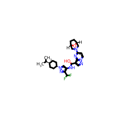 CC(C)[C@H]1CC[C@H](n2cc(NC(O)c3cnn4ccc(N5C[C@H]6CC[C@@H](C5)O6)nc34)c(C(F)F)n2)CC1